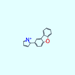 C1=CC(c2ccc3oc4ccccc4c3c2)=[N+]=C1